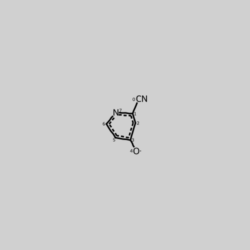 N#Cc1cc([O])ccn1